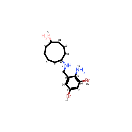 BC1CCCC[C@H](NCc2cc(Br)cc(Br)c2N)CCC1